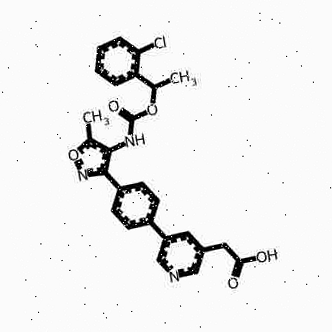 Cc1onc(-c2ccc(-c3cncc(CC(=O)O)c3)cc2)c1NC(=O)OC(C)c1ccccc1Cl